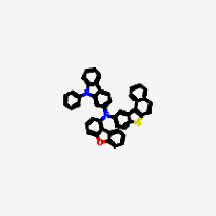 c1ccc(-n2c3ccccc3c3ccc(N(c4ccc5sc6ccc7ccccc7c6c5c4)c4cccc5oc6ccccc6c45)cc32)cc1